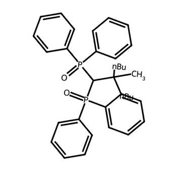 CCCCC(C)(CCCC)C(P(=O)(c1ccccc1)c1ccccc1)P(=O)(c1ccccc1)c1ccccc1